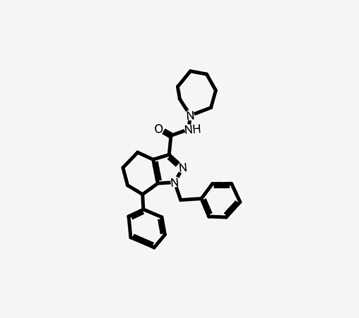 O=C(NN1CCCCCC1)c1nn(Cc2ccccc2)c2c1CCCC2c1ccccc1